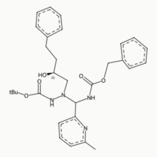 Cc1cccc(C(NC(=O)OCc2ccccc2)N(C[C@@H](O)CCc2ccccc2)NC(=O)OC(C)(C)C)n1